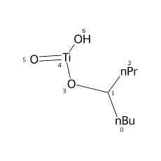 CCCCC(CCC)[O][Ti](=[O])[OH]